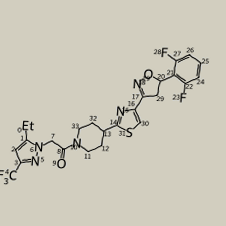 CCc1cc(C(F)(F)F)nn1CC(=O)N1CCC(c2nc(C3=NOC(c4c(F)cccc4F)C3)cs2)CC1